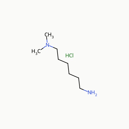 CN(C)CCCCCCN.Cl